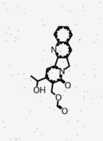 CC(O)c1cc2n(c(=O)c1COC=O)Cc1cc3ccccc3nc1-2